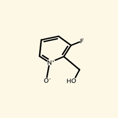 [O-][n+]1cccc(F)c1CO